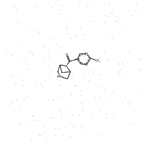 O=C(c1ccc(C(F)(F)F)nc1)N1C2CNCC1C2